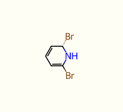 BrC1=CC=C[C@H](Br)N1